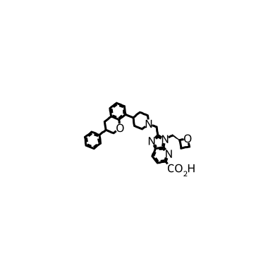 O=C(O)c1ccc2nc(CN3CCC(c4cccc5c4OCC(c4ccccc4)C5)CC3)n(C[C@@H]3CCO3)c2n1